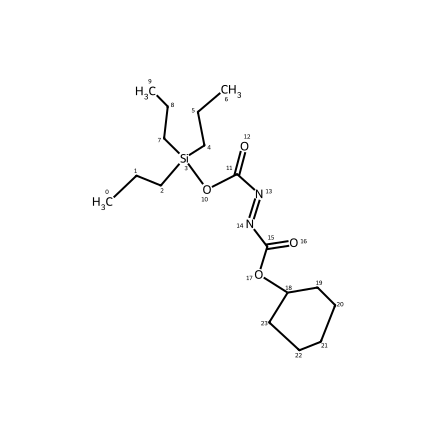 CCC[Si](CCC)(CCC)OC(=O)N=NC(=O)OC1CCCCC1